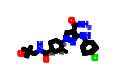 C[C@H]1C[C@@H](C(=O)NCC2(C)COC2)CC[C@@H]1n1cc(C(N)=O)c(Nc2ccc(Cl)cc2)n1